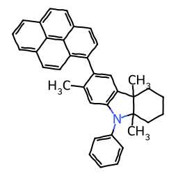 Cc1cc2c(cc1-c1ccc3ccc4cccc5ccc1c3c45)C1(C)CCCCC1(C)N2c1ccccc1